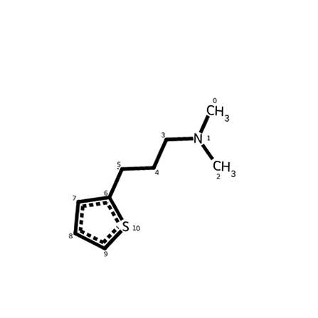 CN(C)CC[CH]c1cccs1